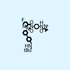 CN(C)C1(C(=O)N[C@H]2CC[C@@H](n3c(=O)c4cc(F)cnc4n(-c4cccc(-c5ccc(CNCC(C)(C)C)cc5)c4)c3=O)CC2)CC1